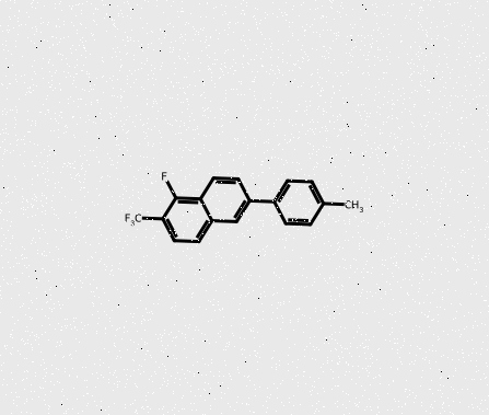 Cc1ccc(-c2ccc3c(F)c(C(F)(F)F)ccc3c2)cc1